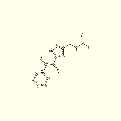 CC(=O)OCc1c[nH]c(C(=O)C(=O)c2ccccc2)c1